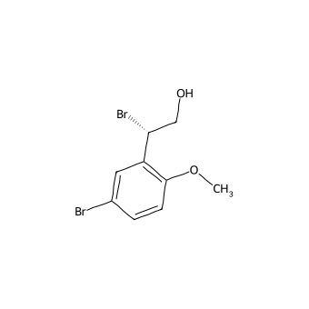 COc1ccc(Br)cc1[C@H](Br)CO